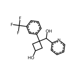 OC1CC(c2cccc(C(F)(F)F)c2)(C(O)c2ccccn2)C1